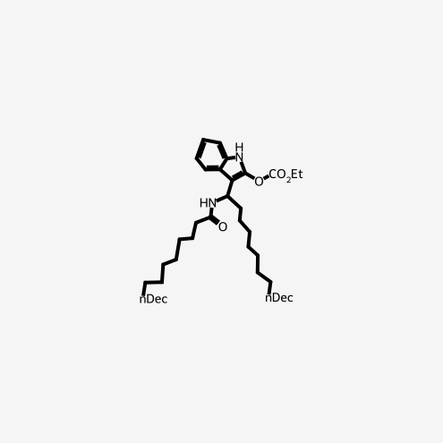 CCCCCCCCCCCCCCCCCC(=O)NC(CCCCCCCCCCCCCCCCC)c1c(OC(=O)OCC)[nH]c2ccccc12